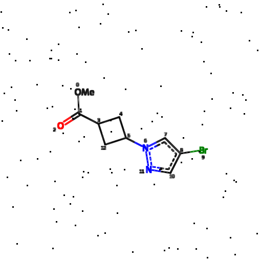 COC(=O)C1CC(n2cc(Br)cn2)C1